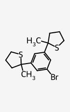 CC1(c2cc(Br)cc(C3(C)CCCS3)c2)CCCS1